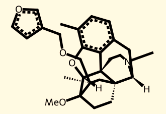 COC12CC[C@@]3(C[C@]1(C)COCc1ccoc1)[C@H]1Cc4ccc(C)c5c4[C@@]3(CCN1C)[C@H]2O5